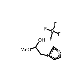 COC(O)Cn1ccnc1.F[B-](F)(F)F